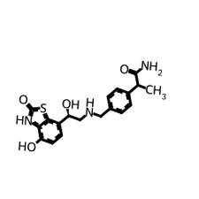 CC(C(N)=O)c1ccc(CNC[C@H](O)c2ccc(O)c3[nH]c(=O)sc23)cc1